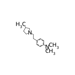 CC1CCN(CCc2ccc(N(C)C)cc2)C1